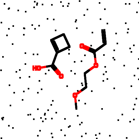 C=CC(=O)OCCOC.O=C(O)C1=CCC1